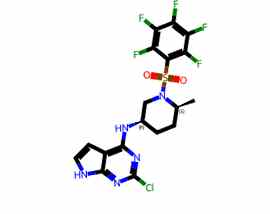 C[C@H]1CC[C@@H](Nc2nc(Cl)nc3[nH]ccc23)CN1S(=O)(=O)c1c(F)c(F)c(F)c(F)c1F